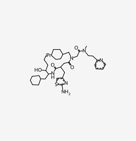 CC(C)CCC(O)C(CC1CCCCC1)NC(=O)C(CC(=O)N(CC(=O)N(C)CCc1ccccn1)CC1CCCCC1)Cc1csc(N)n1